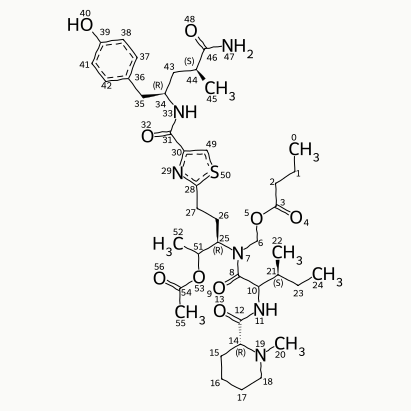 CCCC(=O)OCN(C(=O)C(NC(=O)[C@H]1CCCCN1C)[C@@H](C)CC)[C@H](CCc1nc(C(=O)N[C@@H](Cc2ccc(O)cc2)C[C@H](C)C(N)=O)cs1)C(C)OC(C)=O